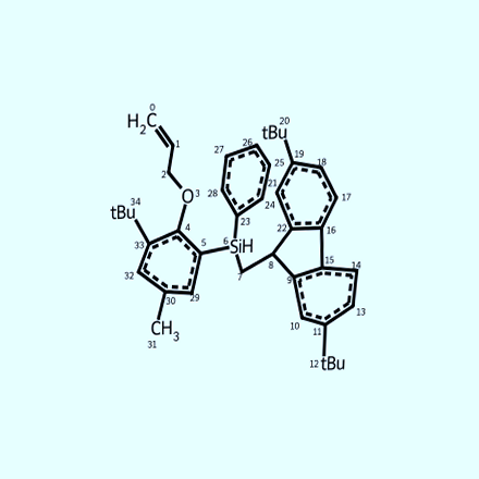 C=CCOc1c([SiH](CC2c3cc(C(C)(C)C)ccc3-c3ccc(C(C)(C)C)cc32)c2ccccc2)cc(C)cc1C(C)(C)C